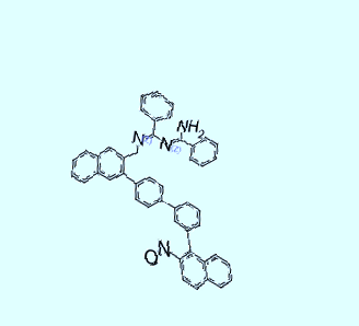 N/C(=N\C(=N/Cc1cc2ccccc2cc1-c1ccc(-c2cccc(-c3c(N=O)ccc4ccccc34)c2)cc1)c1ccccc1)c1ccccc1